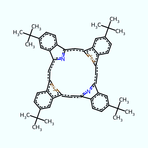 CC(C)(C)c1ccc2c(c1)-c1cc3sc(cc4nc(cc5sc(cc-2n1)c1cc(C(C)(C)C)ccc51)-c1cc(C(C)(C)C)ccc1-4)c1cc(C(C)(C)C)ccc31